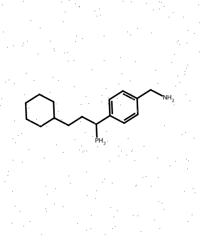 NCc1ccc(C(P)CC[C]2CCCCC2)cc1